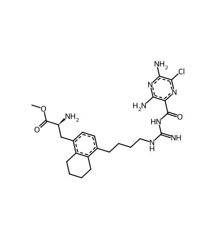 COC(=O)[C@@H](N)Cc1ccc(CCCCNC(=N)NC(=O)c2nc(Cl)c(N)nc2N)c2c1CCCC2